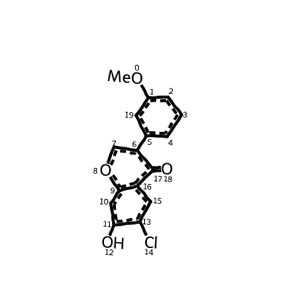 COc1cccc(-c2coc3cc(O)c(Cl)cc3c2=O)c1